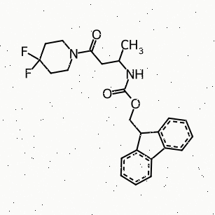 CC(CC(=O)N1CCC(F)(F)CC1)NC(=O)OCC1c2ccccc2-c2ccccc21